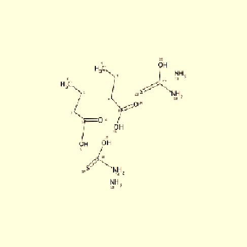 CCCC(=O)O.CCCC(=O)O.N.N.NC(O)=S.NC(O)=S